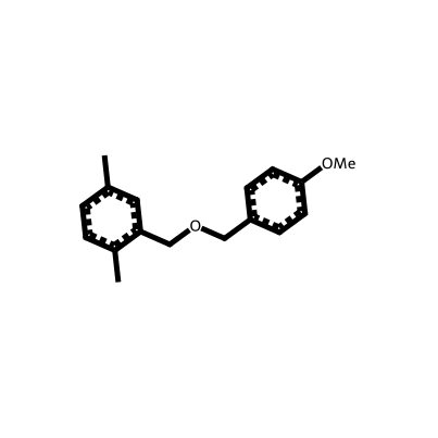 COc1ccc(COCc2cc(C)ccc2C)cc1